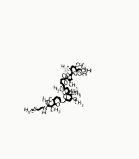 CO[C@@H]1C[C@@H](C[C@H]2CC[C@H](C)C([C@@H](C)C(=O)NCCSC)O2)O[C@]2(O[C@@](C)(C3CC[C@@](C)([C@@H]4O[C@@H]([C@@H]5O[C@@](O)(CO)[C@H](C)C[C@@H]5C)C[C@@H]4C)O3)C[C@H]2C)C1C